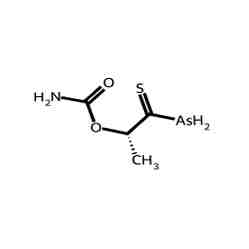 C[C@H](OC(N)=O)C(=S)[AsH2]